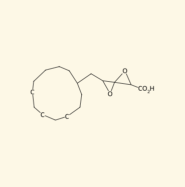 O=C(O)C1OC12OC2CC1CCCCCCCCCCC1